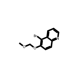 COCOc1ccc2ncccc2c1Br